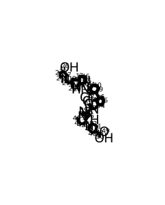 O=C(Nc1cccc(-c2cccc(Nc3nccc4cc(CN5CC[C@@H](O)C5)cnc34)c2Cl)c1Cl)c1cc2n(n1)CCCC2N1CCC(C(=O)O)CC1